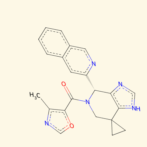 Cc1ncoc1C(=O)N1CC2(CC2)c2[nH]cnc2[C@H]1c1cc2ccccc2cn1